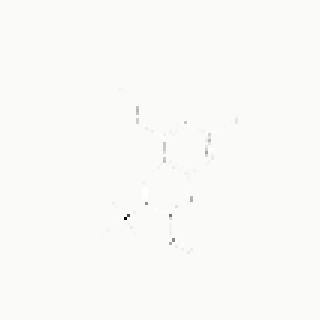 COCc1cc(Cl)cc2c1O[C@H](C(F)(F)F)C(C(=O)O)=C2